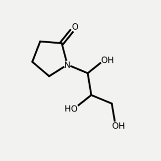 O=C1CCCN1C(O)C(O)CO